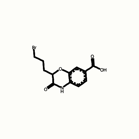 O=C(O)c1ccc2c(c1)OC(CCCBr)C(=O)N2